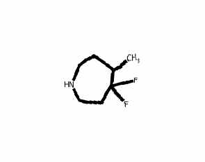 CC1CCNCCC1(F)F